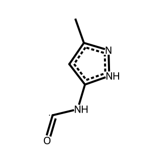 Cc1cc(N[C]=O)[nH]n1